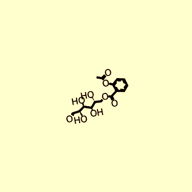 CC(=O)Oc1ccccc1C(=O)OC[C@@H](O)[C@H](O)[C@H](O)[C@@H](O)C=O